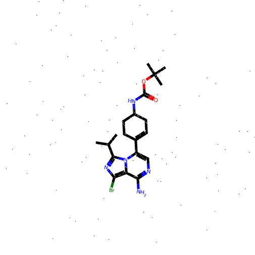 CC(C)c1nc(Br)c2c(N)ncc(C3=CCC(NC(=O)OC(C)(C)C)CC3)n12